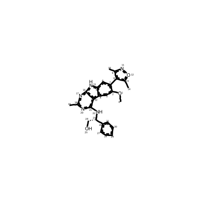 COc1cc2c(cc1-c1c(C)noc1C)[nH]c1nc(C)nc(N[C@@H](CO)c3ccccc3)c12